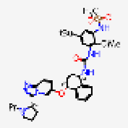 COc1c(NC(=O)N[C@H]2CC[C@@H](Oc3ccc4nnc([C@@H]5CCCN5C(C)C)n4c3)c3ccccc32)cc(C(C)(C)C)cc1NS(C)(=O)=O